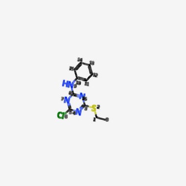 CCSc1nc(Cl)nc(Nc2ccccc2)n1